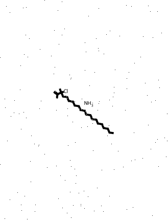 C=C(C)C(C)(Cl)CCCCCCCCCCCCCCCCCC.N